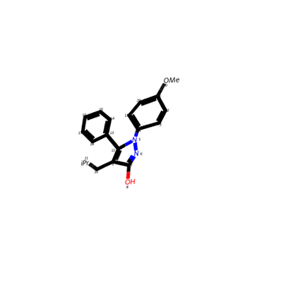 COc1ccc(-n2nc(O)c(CC(C)C)c2-c2ccccc2)cc1